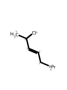 CCCCC=CC(C)Cl